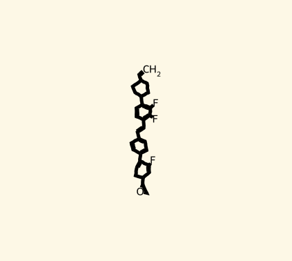 C=CC1CCC(c2ccc(/C=C/c3ccc(C4=CCC(C5CO5)C=C4F)cc3)c(F)c2F)CC1